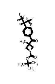 CC(C)(C)OC(=O)N1CC(C)(C(=O)c2ccc(C(F)(C(F)(F)F)C(F)(F)F)cc2)C1